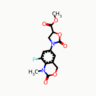 COC(=O)C1CN(c2cc(F)c3c(c2)COC(=O)N3C)C(=O)O1